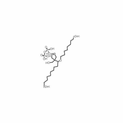 CCCCCCCCCCCCCCCCCCOC(CCCCCCCCCCCCCCCCCC)C(CO)(CO)CO.O=P(O)(O)OP(=O)(O)O